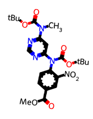 COC(=O)c1ccc(N(C(=O)OC(C)(C)C)c2cc(N(C)C(=O)OC(C)(C)C)ncn2)c([N+](=O)[O-])c1